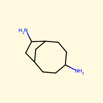 NC1CCC2CC(N)C(CC1)C2